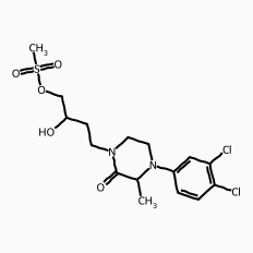 CC1C(=O)N(CCC(O)COS(C)(=O)=O)CCN1c1ccc(Cl)c(Cl)c1